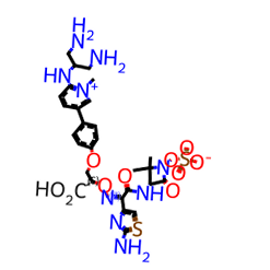 C[n+]1cc(-c2ccc(OC[C@H](O/N=C(\C(=O)NC3C(=O)N(OS(=O)(=O)[O-])C3(C)C)c3csc(N)n3)C(=O)O)cc2)ccc1NC(CN)CN